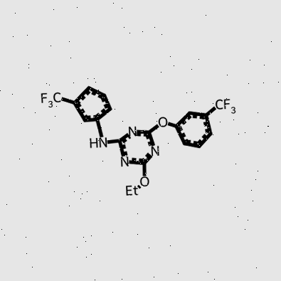 CCOc1nc(Nc2cccc(C(F)(F)F)c2)nc(Oc2cccc(C(F)(F)F)c2)n1